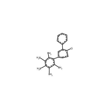 Bc1c(B)c(B)c(-c2ccc(Cl)c(-c3ccccc3)c2)c(B)c1B